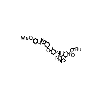 COc1ccc(Cn2ncc3ccc(Oc4ccc(Nc5ncnc6sc7c(c56)CCN(C(=O)OC(C)(C)C)C7)cc4C)cc32)cc1